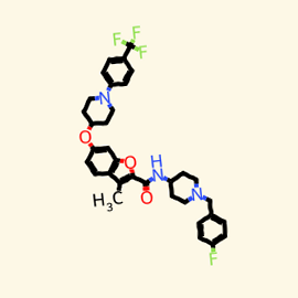 Cc1c(C(=O)NC2CCN(Cc3ccc(F)cc3)CC2)oc2cc(OC3CCN(c4ccc(C(F)(F)F)cc4)CC3)ccc12